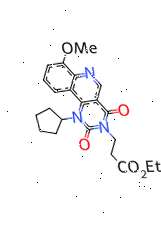 CCOC(=O)CCn1c(=O)c2cnc3c(OC)cccc3c2n(C2CCCC2)c1=O